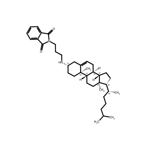 CC(C)CCC[C@@H](C)[C@H]1CC[C@H]2[C@@H]3CC=C4C[C@@H](NCCCN5C(=O)c6ccccc6C5=O)CC[C@]4(C)[C@H]3CC[C@]12C